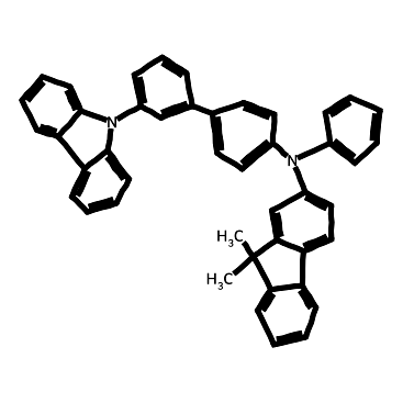 CC1(C)c2ccccc2-c2ccc(N(c3ccccc3)c3ccc(-c4cccc(-n5c6ccccc6c6ccccc65)c4)cc3)cc21